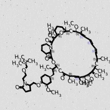 C=C1[C@H](C)C[C@H](C)/C=C/C=C/C=C(\C)[C@@H](OC)C[C@@H]2CC[C@@H](C)[C@@](O)(O2)C(=O)C(=O)N2CCCC[C@H]2C(=O)O[C@H]([C@H](C)C[C@@H]2CC[C@@H](OCC3CCC(=O)N3CCOC[Si](C)(C)C)[C@H](OC)C2)CC(=O)[C@H](C)/C=C(\C)[C@@H](O)[C@H]1OC